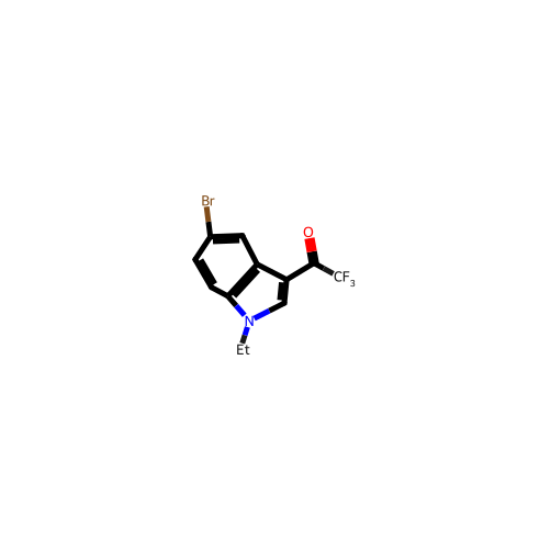 CCn1cc(C(=O)C(F)(F)F)c2cc(Br)ccc21